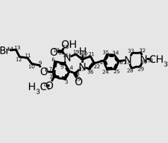 COc1cc2c(cc1OCCCCCBr)N(C(=O)O)C[C@@H]1CC(c3ccc(N4CCN(C)CC4)cc3)=CN1C2=O